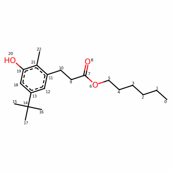 CCCCCCOC(=O)CCc1cc(C(C)(C)C)cc(O)c1C